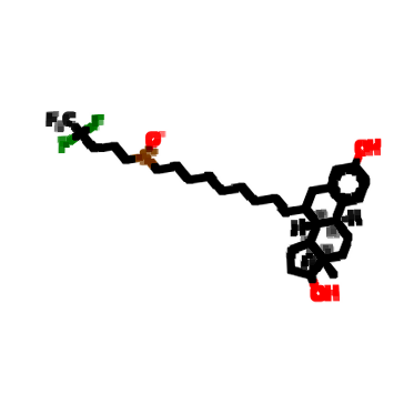 C[C@]12CC[C@@H]3c4ccc(O)cc4CC(CCCCCCCCC[S+]([O-])CCCC(F)(F)C(F)(F)F)[C@H]3[C@@H]1CCC2O